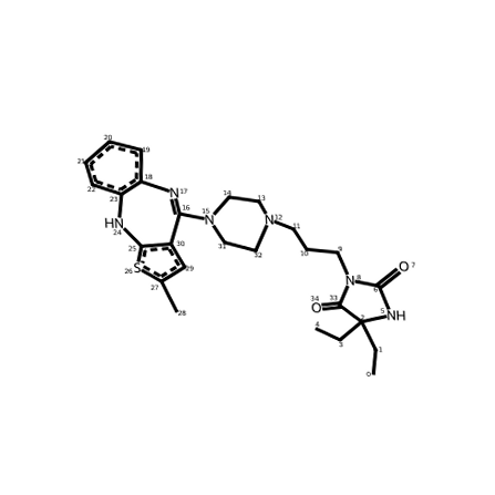 CCC1(CC)NC(=O)N(CCCN2CCN(C3=Nc4ccccc4Nc4sc(C)cc43)CC2)C1=O